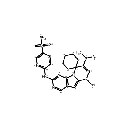 CC(=O)N(C)C1=NN(C(C)C)c2cc3cnc(Nc4ccc(S(N)(=O)=O)cn4)nc3n2C12CCCCC2